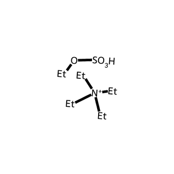 CCOS(=O)(=O)O.CC[N+](CC)(CC)CC